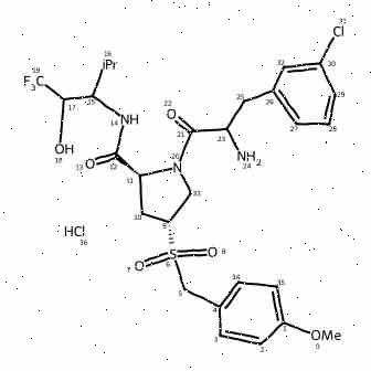 COc1ccc(CS(=O)(=O)[C@@H]2C[C@@H](C(=O)NC(C(C)C)C(O)C(F)(F)F)N(C(=O)C(N)Cc3cccc(Cl)c3)C2)cc1.Cl